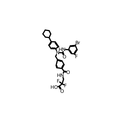 O=C(NCC(F)(F)C(=O)O)c1ccc(CN(C(=O)Nc2cc(F)cc(Br)c2)c2ccc(C3CCCCC3)cc2)cc1